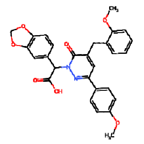 COc1ccc(-c2cc(Cc3ccccc3OC)c(=O)n(C(C(=O)O)c3ccc4c(c3)OCO4)n2)cc1